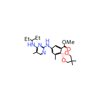 CCC(CC)Nc1nc(Nc2cc(C)c(B3OCC(C)(C)CO3)c(C(=O)OC)c2)ncc1C